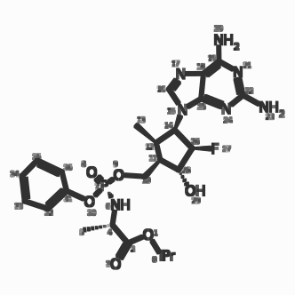 CC(C)OC(=O)[C@H](C)N[P@](=O)(OC[C@H]1[C@@H](C)[C@@H](n2cnc3c(N)nc(N)nc32)[C@@H](F)[C@@H]1O)Oc1ccccc1